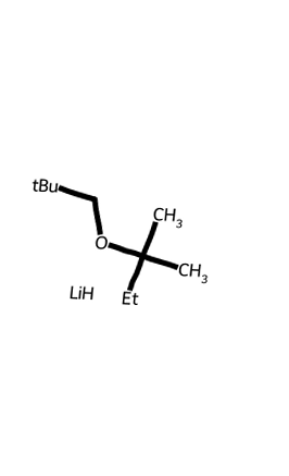 [CH2]C(C)(C)COC(C)(C)CC.[LiH]